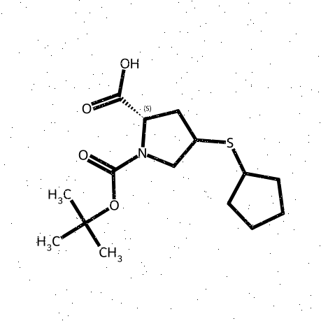 CC(C)(C)OC(=O)N1CC(SC2CCCC2)C[C@H]1C(=O)O